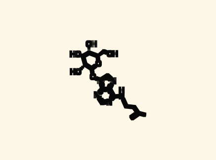 C=C(C)CCNc1ncnc2c1ncn2OC1O[C@H](CO)[C@@H](O)[C@H](O)[C@H]1O